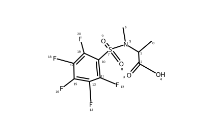 CC(C(=O)O)N(C)S(=O)(=O)c1c(F)c(F)c(F)c(F)c1F